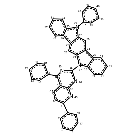 c1ccc(-c2cnc3c(-c4ccccc4)nc(-n4c5ccccc5c5cc6c(cc54)c4ccccc4n6-c4ccccc4)nc3n2)cc1